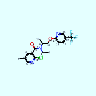 CCN(C(=O)c1cc(C)cnc1Cl)C(C)COc1ccc(C(F)(F)F)cn1